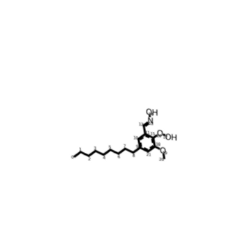 CCCCCCCCCc1cc(C=NO)c(OO)c(OC)c1